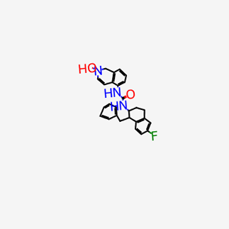 O=C(Nc1cccc2c1C=CN(O)C2)NC1CCc2cc(F)ccc2C1Cc1ccccc1